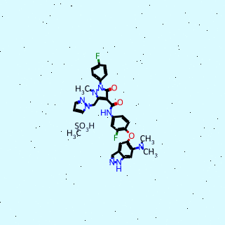 CN(C)c1cc2[nH]ncc2cc1Oc1ccc(NC(=O)c2c(Cn3cccn3)n(C)n(-c3ccc(F)cc3)c2=O)cc1F.CS(=O)(=O)O